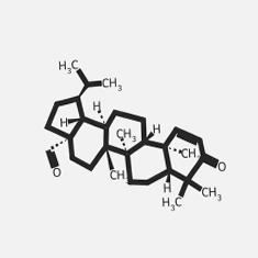 CC(C)[C@@H]1CC[C@]2(C=O)CC[C@]3(C)[C@H](CC[C@@H]4[C@@]5(C)C=CC(=O)C(C)(C)[C@@H]5CC[C@]43C)[C@@H]12